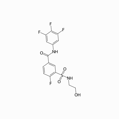 O=C(Nc1cc(F)c(F)c(F)c1)c1ccc(F)c(S(=O)(=O)NCCO)c1